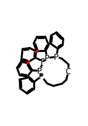 c1ccc(P2CCCCCCCP(c3ccccc3)P(c3ccccc3)P(c3ccccc3)P2c2ccccc2)cc1